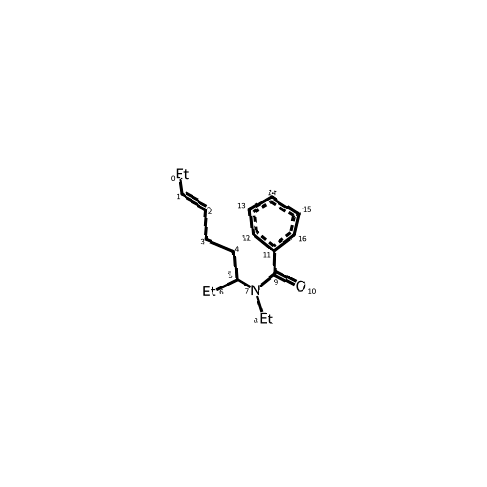 CCC=CCCC(CC)N(CC)C(=O)c1ccccc1